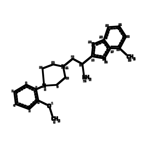 COc1ccccc1N1CCN(CC(N)c2nc3c(C)cccc3s2)CC1